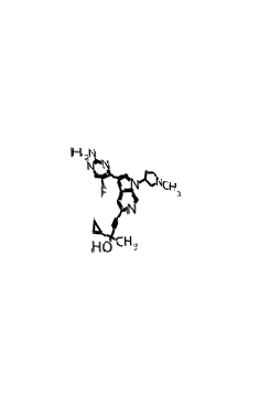 CN1CCC(n2cc(-c3nc(N)ncc3F)c3cc(C#CC(C)(O)C4CC4)ncc32)C1